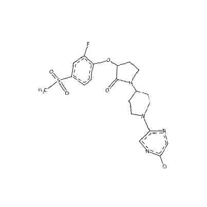 CS(=O)(=O)c1ccc(OC2CCN(C3CCN(c4cnc(Cl)cn4)CC3)C2=O)c(F)c1